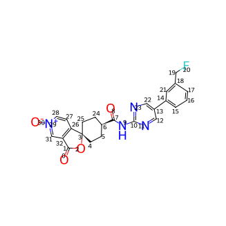 O=C1O[C@]2(CC[C@H](C(=O)Nc3ncc(-c4cccc(CF)c4)cn3)CC2)c2cc[n+]([O-])cc21